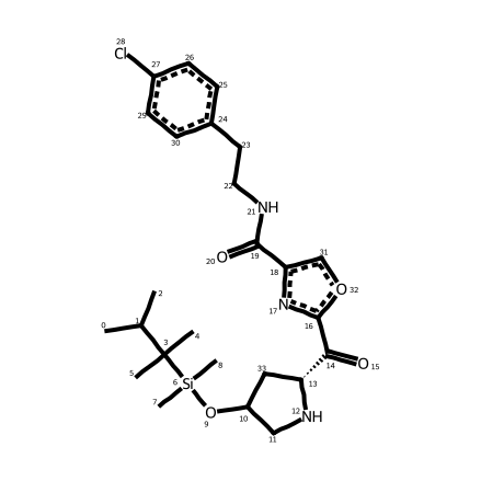 CC(C)C(C)(C)[Si](C)(C)OC1CN[C@@H](C(=O)c2nc(C(=O)NCCc3ccc(Cl)cc3)co2)C1